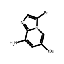 CC(C)(C)c1cc(N)c2ncc(Br)n2c1